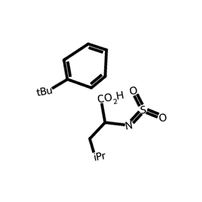 CC(C)(C)c1ccccc1.CC(C)CC(N=S(=O)=O)C(=O)O